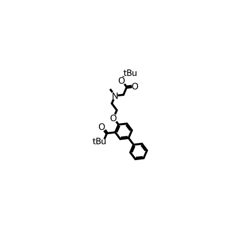 CN(CCOc1ccc(-c2ccccc2)cc1C(=O)C(C)(C)C)CC(=O)OC(C)(C)C